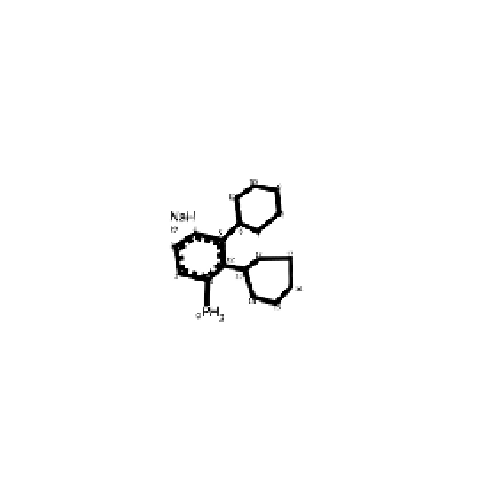 Pc1cccc(C2CCCCC2)c1C1CCCCC1.[NaH]